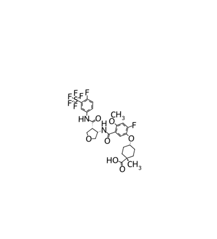 COc1cc(F)c(O[C@H]2CC[C@@](C)(C(=O)O)CC2)cc1C(=O)N[C@@H]1COC[C@@H]1C(=O)Nc1ccc(F)c(S(F)(F)(F)(F)F)c1